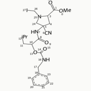 COC(=O)C1CC(C#N)(NC(=O)C(CC(C)C)OC(=O)NCc2ccccc2)CN1CI